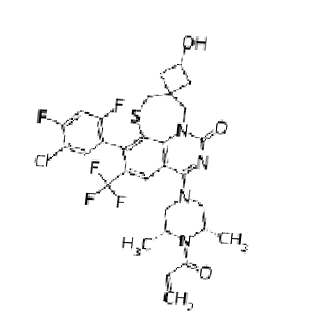 C=CC(=O)N1[C@H](C)CN(c2nc(=O)n3c4c(c(-c5cc(Cl)c(F)cc5F)c(C(F)(F)F)cc24)SCC2(CC(O)C2)C3)C[C@@H]1C